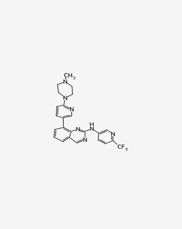 CN1CCN(c2ccc(-c3cccc4cnc(Nc5ccc(C(F)(F)F)nc5)nc34)cn2)CC1